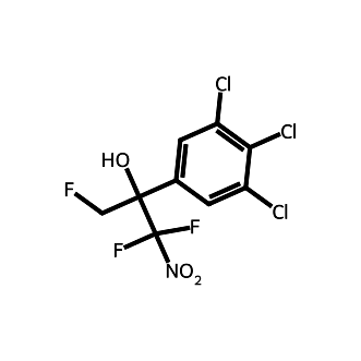 O=[N+]([O-])C(F)(F)C(O)(CF)c1cc(Cl)c(Cl)c(Cl)c1